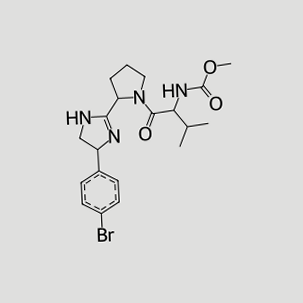 COC(=O)NC(C(=O)N1CCCC1C1=NC(c2ccc(Br)cc2)CN1)C(C)C